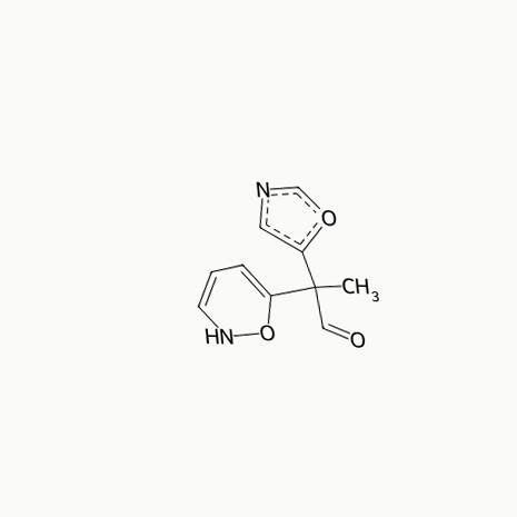 CC(C=O)(C1=CC=CNO1)c1cnco1